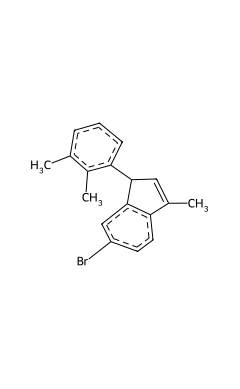 CC1=CC(c2cccc(C)c2C)c2cc(Br)ccc21